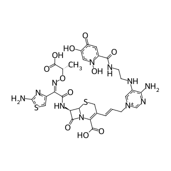 C[C@H](O/N=C(\C(=O)N[C@@H]1C(=O)N2C(C(=O)O)=C(/C=C/C[n+]3cnc(N)c(NCCNC(=O)c4cc(=O)c(O)cn4O)c3)CSC12)c1csc(N)n1)C(=O)O